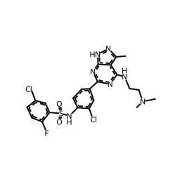 Cc1n[nH]c2nc(-c3ccc(NS(=O)(=O)c4cc(Cl)ccc4F)c(Cl)c3)nc(NCCN(C)C)c12